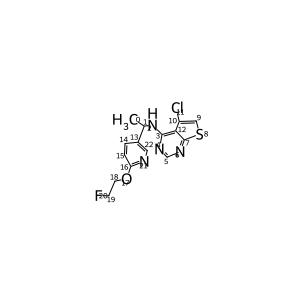 CC(Nc1ncnc2scc(Cl)c12)c1ccc(OCCF)nc1